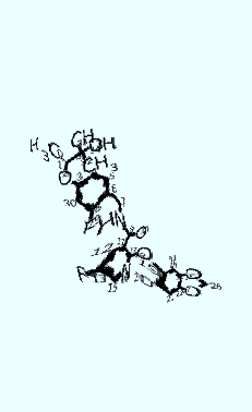 C[C@@H](Oc1ccc(CNC(=O)c2cc(F)cnc2Oc2ccc3c(c2)OCO3)c(F)c1)C(C)(C)O